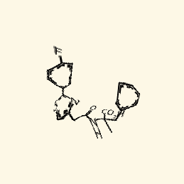 CC(Cc1ccccc1)(NC(=O)Cc1csc(-c2ccc(F)cc2)n1)C(=O)O